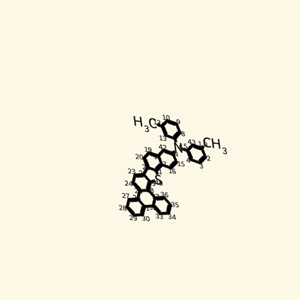 Cc1cccc(N(c2cccc(C)c2)c2ccc3c(ccc4c5ccc6c7ccccc7c7ccccc7c6c5sc34)c2)c1